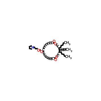 C=C=C=C=C1C(CCCCC)CCOC(=O)CCCCCCCC(OCOCCCN2CCCC2)CCCCCCCC(=O)OCCC1CCCCC